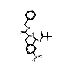 O=C(NCc1ccccc1)[C@@H]1Cc2ccc([N+](=O)[O-])cc2C(OC(=O)C(F)(F)F)N1